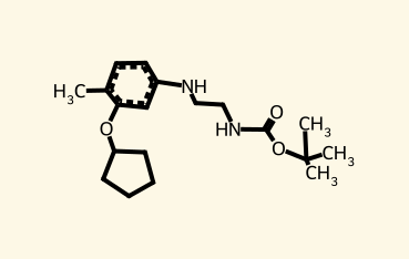 Cc1ccc(NCCNC(=O)OC(C)(C)C)cc1OC1CCCC1